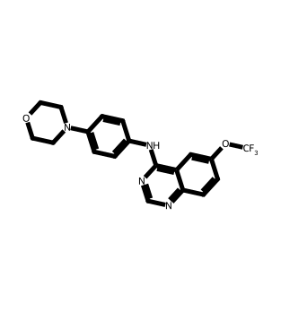 FC(F)(F)Oc1ccc2ncnc(Nc3ccc(N4CCOCC4)cc3)c2c1